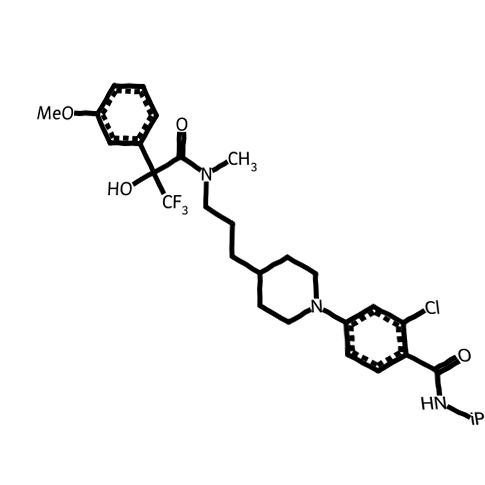 COc1cccc(C(O)(C(=O)N(C)CCCC2CCN(c3ccc(C(=O)NC(C)C)c(Cl)c3)CC2)C(F)(F)F)c1